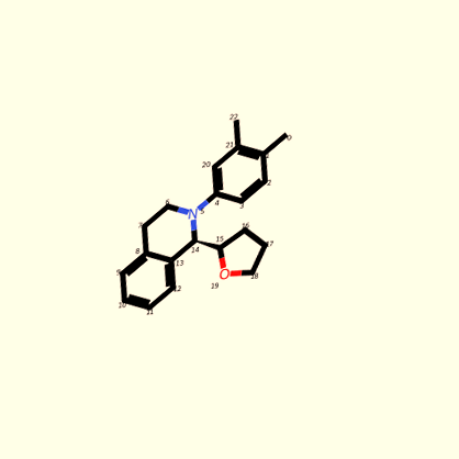 Cc1ccc(N2CCc3ccccc3[C@@H]2C2CCCO2)cc1C